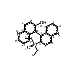 CCP(=O)(CC)c1ccc2ncccc2c1-c1c(O)ccc2ncccc12